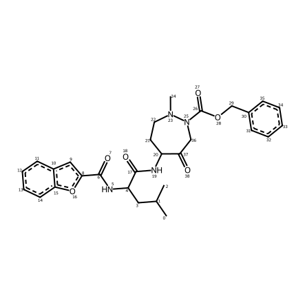 CC(C)CC(NC(=O)c1cc2ccccc2o1)C(=O)NC1CCN(C)N(C(=O)OCc2ccccc2)CC1=O